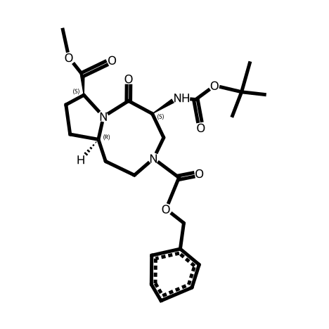 COC(=O)[C@@H]1CC[C@@H]2CCN(C(=O)OCc3ccccc3)C[C@H](NC(=O)OC(C)(C)C)C(=O)N21